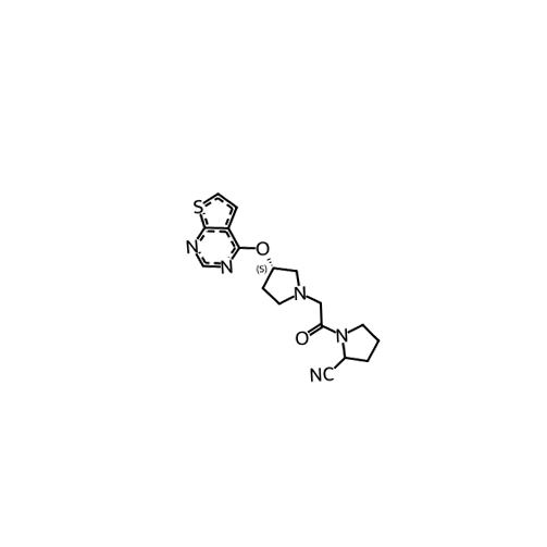 N#CC1CCCN1C(=O)CN1CC[C@H](Oc2ncnc3sccc23)C1